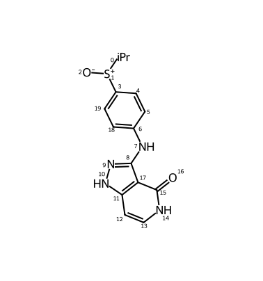 CC(C)[S+]([O-])c1ccc(Nc2n[nH]c3cc[nH]c(=O)c23)cc1